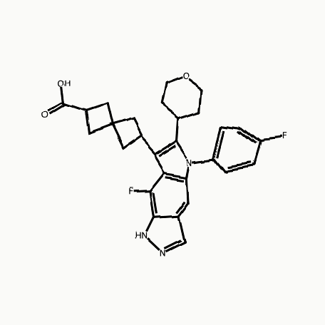 O=C(O)C1CC2(C1)CC(c1c(C3CCOCC3)n(-c3ccc(F)cc3)c3cc4cn[nH]c4c(F)c13)C2